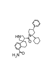 NC(=O)c1cccc2c1CCC[C@]21CNC[C@H]1C(=O)N1CC[C@@H](c2ccccc2)C[C@H]1C1CCCCC1